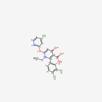 CCn1c(Oc2cc(Cl)ccn2)cc(=O)c(C(=O)O)c1-c1ccc(Cl)c(Cl)c1